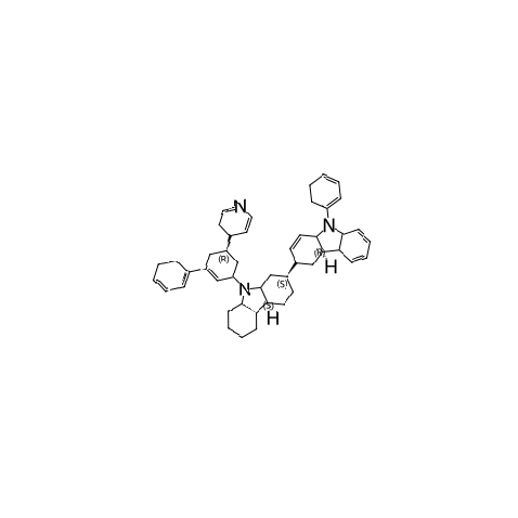 C1=CCCC(C2=CC(N3C4CCCCC4[C@@H]4CC[C@H](C5C=CC6[C@H](C5)C5C=CC=CC5N6C5=CC=CCC5)CC43)C[C@H](C3C=CN=CC3)C2)=C1